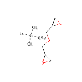 C(OCC1CO1)C1CO1.CC[Si](C)(C)OC